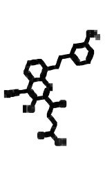 Cc1cccc(CCc2cccc3c(C#N)c(O)c(C(=O)CCC(=O)O)nc23)c1